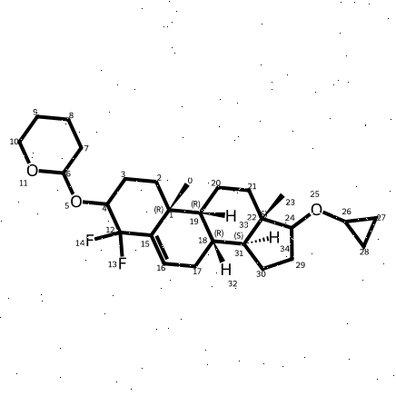 C[C@]12CCC(OC3CCCCO3)C(F)(F)C1=CC[C@@H]1[C@H]2CC[C@]2(C)C(OC3CC3)CC[C@@H]12